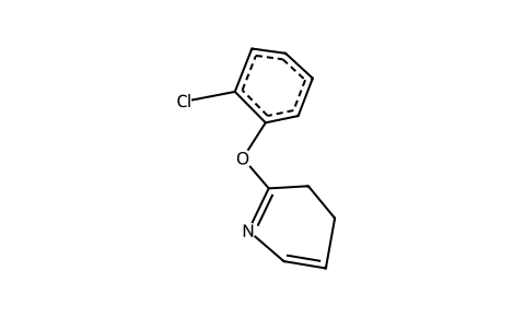 Clc1ccccc1OC1=NC=CCC1